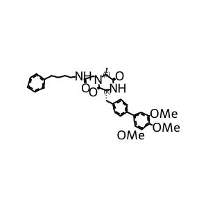 COc1cc(-c2ccc(C[C@H]3NC(=O)[C@H](C)N(CC(=O)NCCCCc4ccccc4)C3=O)cc2)cc(OC)c1OC